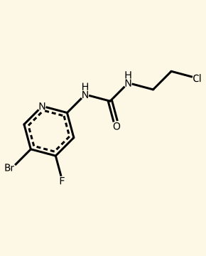 O=C(NCCCl)Nc1cc(F)c(Br)cn1